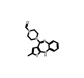 Cc1cc2c(s1)Nc1ccccc1N=C2N1CCN(C=O)CC1